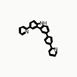 c1ccc(-c2ccc(-c3ccc4[nH]c5ccc(-c6ccccn6)cc5c4c3)cc2)nc1